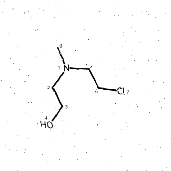 CN(CCO)CCCl